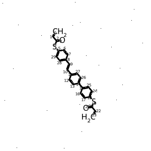 C=CC(=O)Sc1ccc(/C=C/c2ccc(-c3ccc(SC(=O)C=C)cc3)cc2)cc1